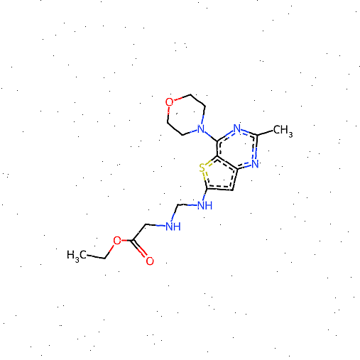 CCOC(=O)CNCNc1cc2nc(C)nc(N3CCOCC3)c2s1